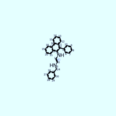 C(=C\Nc1c(-c2ccccc2)c2ccccc2c2ccccc12)/NCc1ccccc1